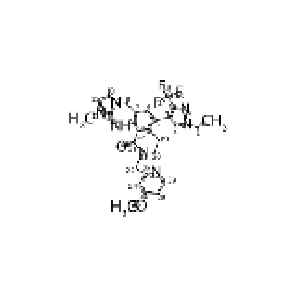 CCn1cc(-c2cc(Cn3ccn(C)c3=N)cc3c2CCN(Cc2cc(OC)ccn2)C3=O)c(C(F)(F)F)n1